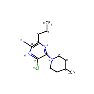 N#CC1CCN(c2nc(CCC(F)(F)F)c(I)nc2Cl)CC1